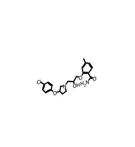 Cc1ccc(C(N)=O)c(OCC(O)CN2CCC(Oc3ccc(Cl)cc3)C2)c1